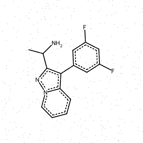 CC(N)c1nn2ccccc2c1-c1cc(F)cc(F)c1